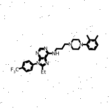 CCc1nc2c(NCCCN3CCN(c4cccc(C)c4C)CC3)ncnc2n1-c1ccc(C(F)(F)F)cc1